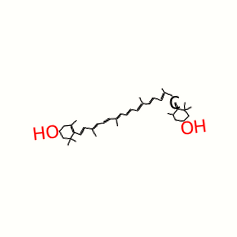 CC1=C(/C=C/C(C)=C/C=C/C(C)=C/C=C/C=C(C)/C=C/C=C(\C)C=C=C2C(C)CC(O)CC2(C)C)C(C)(C)CC(O)C1